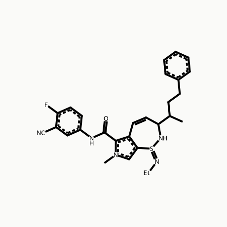 CC/N=S1/NC(C(C)CCc2ccccc2)C=Cc2c1cn(C)c2C(=O)Nc1ccc(F)c(C#N)c1